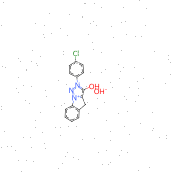 Oc1c2[n+](nn1-c1ccc(Cl)cc1)-c1ccccc1C2.[OH-]